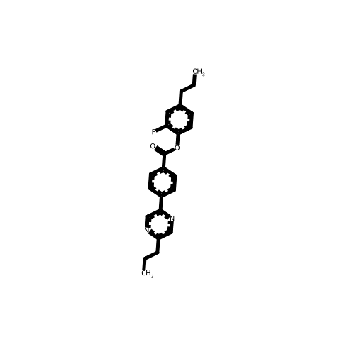 CCCc1ccc(OC(=O)c2ccc(-c3cnc(CCC)cn3)cc2)c(F)c1